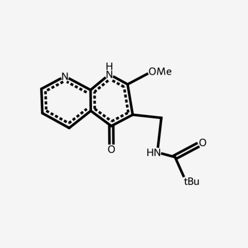 COc1[nH]c2ncccc2c(=O)c1CNC(=O)C(C)(C)C